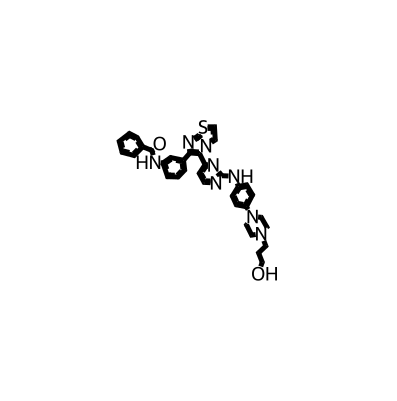 O=C(Nc1cccc(-c2nc3sccn3c2-c2ccnc(Nc3ccc(N4CCN(CCCO)CC4)cc3)n2)c1)c1ccccc1